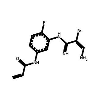 C=CC(=O)Nc1ccc(F)c(NC(=N)/C(Br)=C\N)c1